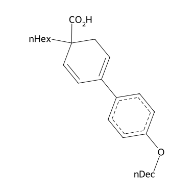 CCCCCCCCCCOc1ccc(C2=CCC(CCCCCC)(C(=O)O)C=C2)cc1